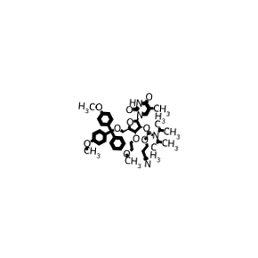 COCCO[C@H]1[C@@H](OP(OCCC#N)N(C(C)C)C(C)C)[C@H](n2cc(C)c(=O)[nH]c2=O)O[C@@H]1COC(c1ccccc1)(c1ccc(OC)cc1)c1ccc(OC)cc1